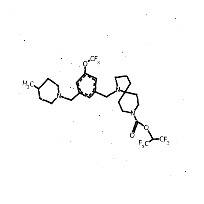 CC1CCN(Cc2cc(CN3CCCC34CCN(C(=O)OC(C(F)(F)F)C(F)(F)F)CC4)cc(OC(F)(F)F)c2)CC1